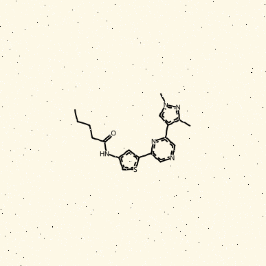 CCCCC(=O)Nc1csc(-c2cncc(-c3cn(C)nc3C)n2)c1